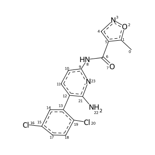 Cc1oncc1C(=O)Nc1ccc(-c2cc(Cl)ccc2Cl)c(N)n1